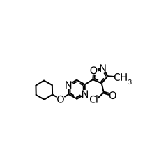 Cc1noc(-c2cnc(OC3CCCCC3)cn2)c1C(=O)Cl